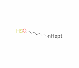 CCCCCCCCCCCCCCCCOS